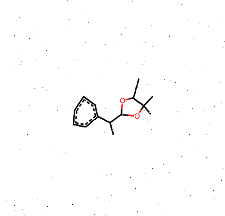 CC(c1ccccc1)C1OC(C)C(C)(C)O1